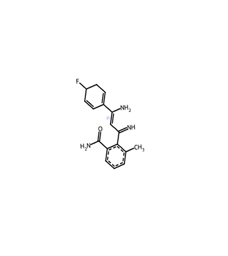 Cc1cccc(C(N)=O)c1C(=N)/C=C(\N)C1=CCC(F)C=C1